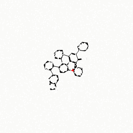 C=C1C(c2ccccc2)=CC(c2ccccc2-c2c(-c3ccccc3-c3ccc4ncoc4c3)ccc3ccccc23)=CC1c1ccccc1